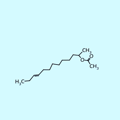 CC/C=C/CCCCCCCC(C)OC(C)=O